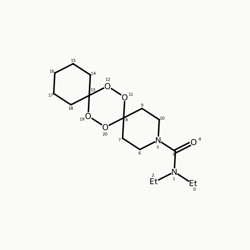 CCN(CC)C(=O)N1CCC2(CC1)OOC1(CCCCC1)OO2